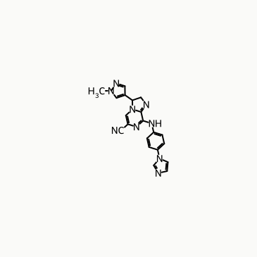 Cn1cc(C2CN=C3C(Nc4ccc(-n5ccnc5)cc4)=NC(C#N)=CN32)cn1